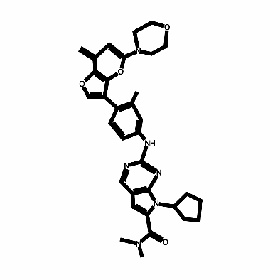 C=C1C=C(N2CCOCC2)Oc2c(-c3ccc(Nc4ncc5cc(C(=O)N(C)C)n(C6CCCC6)c5n4)cc3C)coc21